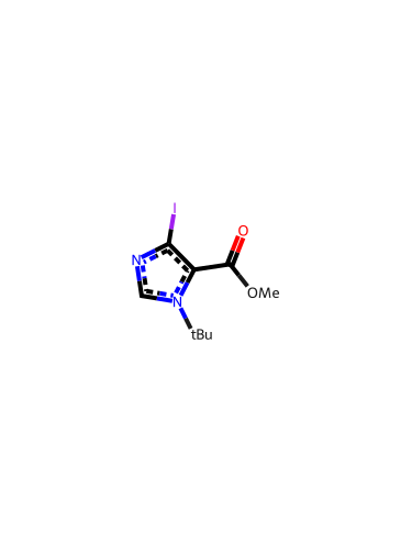 COC(=O)c1c(I)ncn1C(C)(C)C